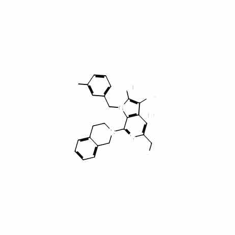 Cc1c(C)n(Cc2cccc(F)c2)c2c(N3CCc4ccccc4C3)nc(CF)cc12.Cl